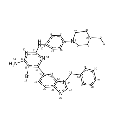 CCN1CCN(c2ccc(Nc3nc(N)c(Br)c(-c4ccc5ncn(Cc6ccccc6)c5c4)n3)cc2)CC1